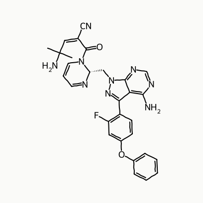 CC(C)(N)/C=C(/C#N)C(=O)N1C=CC=N[C@H]1Cn1nc(-c2ccc(Oc3ccccc3)cc2F)c2c(N)ncnc21